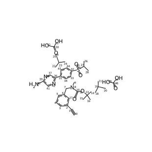 C#Cc1cccc(CN(C)C(=O)OC(C)(C)C)c1.CC(C)C.CC(C)C.CC(C)S(=O)(=O)c1ccc(-c2cnc(N)cn2)cc1.O=C(O)O.O=C(O)O